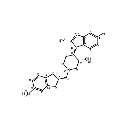 Cc1ccc2c(c1)nc(C(C)C)n2[C@@H]1CCN(C[C@@H]2Cc3ccc(N)cc3C2)C[C@H]1O